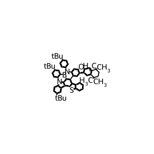 CC(C)(C)c1ccc(N2B3c4cc(C(C)(C)C)ccc4-n4c5ccc(C(C)(C)C)cc5c5c6sc7ccccc7c6c(c3c54)-c3cc4c(cc32)oc2cc3c(cc24)C(C)(C)CCC3(C)C)cc1